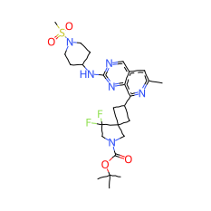 Cc1cc2cnc(NC3CCN(S(C)(=O)=O)CC3)nc2c(C2CC3(C2)CN(C(=O)OC(C)(C)C)CC3(F)F)n1